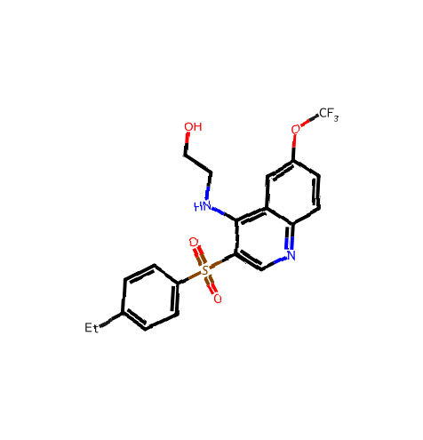 CCc1ccc(S(=O)(=O)c2cnc3ccc(OC(F)(F)F)cc3c2NCCO)cc1